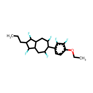 CCCC1C(F)C2CC(F)C(c3ccc(OCC)c(F)c3F)C(F)CC2C1F